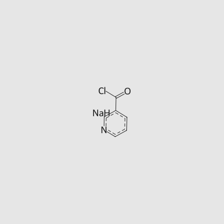 O=C(Cl)c1cccnc1.[NaH]